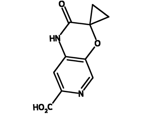 O=C(O)c1cc2c(cn1)OC1(CC1)C(=O)N2